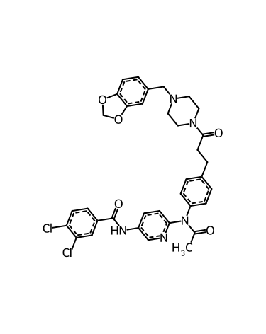 CC(=O)N(c1ccc(CCC(=O)N2CCN(Cc3ccc4c(c3)OCO4)CC2)cc1)c1ccc(NC(=O)c2ccc(Cl)c(Cl)c2)cn1